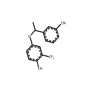 CC(Oc1ccc(C#N)c(C(F)(F)F)c1)c1cccc(C#N)c1